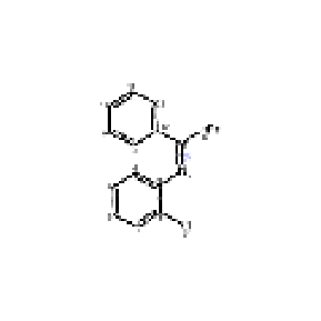 CCC/C(=N/c1ccccc1Cl)c1ccccc1